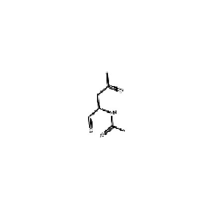 CC(=O)CC(C=O)NC(C)=O